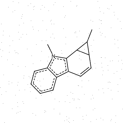 CC1C2C=Cc3c(n(C)c4ccccc34)C12